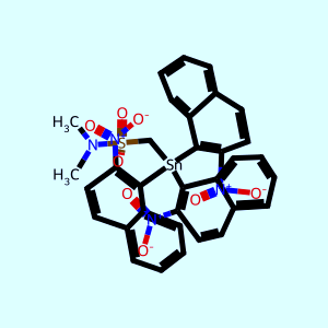 CN(C)S(=O)(=O)[CH2][Sn]([c]1c([N+](=O)[O-])ccc2ccccc12)([c]1c([N+](=O)[O-])ccc2ccccc12)[c]1c([N+](=O)[O-])ccc2ccccc12